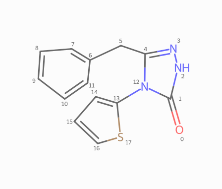 O=c1[nH]nc(Cc2ccccc2)n1-c1cccs1